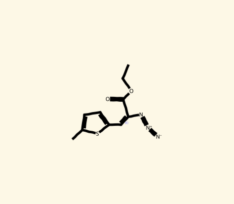 CCOC(=O)/C(=C\c1ccc(C)s1)N=[N+]=[N-]